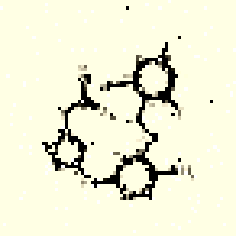 Cc1cnc(Nc2cnn(CC(=O)O)c2)nc1NCc1c(F)cc(F)cc1F